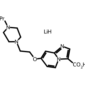 CC(C)N1CCN(CCOc2ccn3c(C(=O)O)cnc3c2)CC1.[LiH]